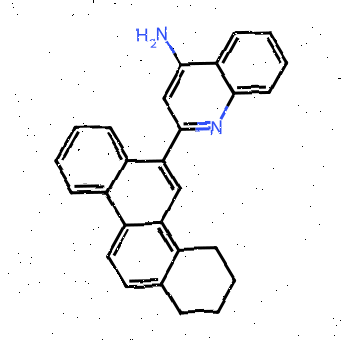 Nc1cc(-c2cc3c4c(ccc3c3ccccc23)CCCC4)nc2ccccc12